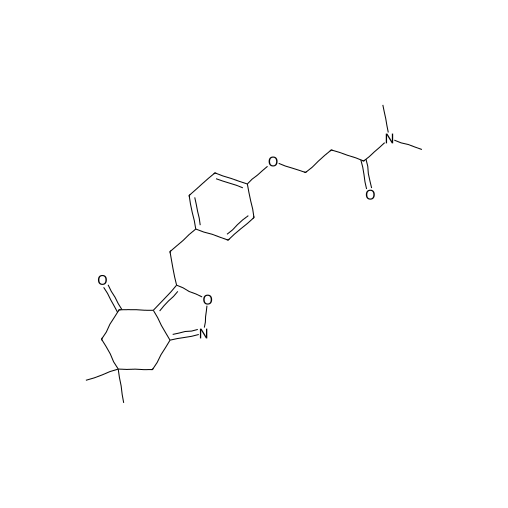 CN(C)C(=O)CCOc1ccc(Cc2onc3c2C(=O)CC(C)(C)C3)cc1